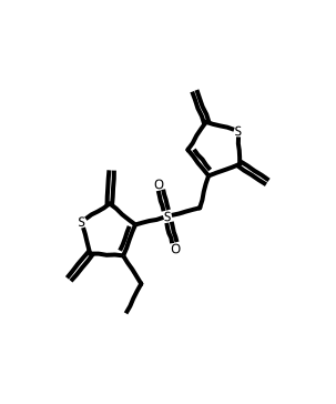 C=c1cc(CS(=O)(=O)c2c(CC)c(=C)sc2=C)c(=C)s1